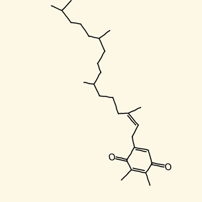 CC(=CCC1=CC(=O)C(C)=C(C)C1=O)CCCC(C)CCCC(C)CCCC(C)C